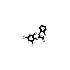 O=C1Oc2ccccc2CC1=Nc1c(O)cc(Cl)cc1Cl